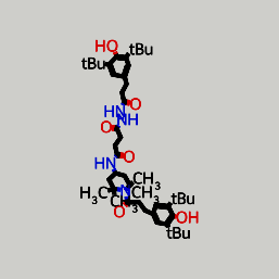 CC(C)(C)c1cc(CCC(=O)NNC(=O)CCC(=O)NC2CC(C)(C)N(C(=O)CCc3cc(C(C)(C)C)c(O)c(C(C)(C)C)c3)C(C)(C)C2)cc(C(C)(C)C)c1O